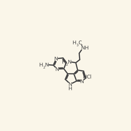 CNCCC(N)c1ccnc2[nH]cc(-c3ccnc(N)n3)c12.Cl